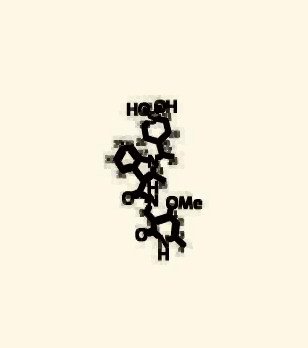 COc1cc(C)[nH]c(=O)c1CNC(=O)c1c(C)n(C(C)C2CCS(O)(O)CC2)c2ccccc12